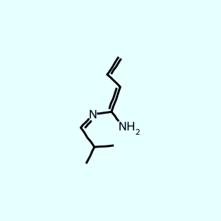 C=C/C=C(N)\N=C/C(C)C